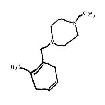 CC1=C(CN2CCN(C)CC2)CC=CC1